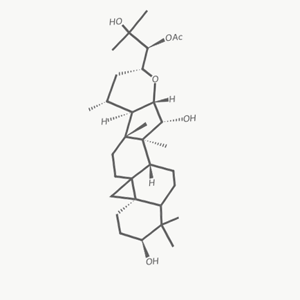 CC(=O)O[C@@H]([C@H]1C[C@@H](C)[C@H]2[C@H](O1)[C@H](O)[C@@]1(C)[C@@H]3CCC4C(C)(C)[C@@H](O)CC[C@@]45CC35CC[C@]21C)C(C)(C)O